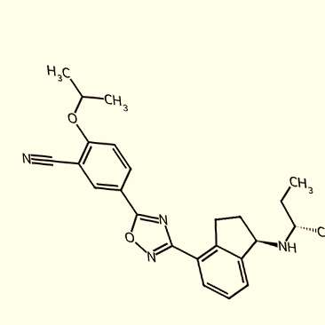 CC[C@H](C)N[C@@H]1CCc2c(-c3noc(-c4ccc(OC(C)C)c(C#N)c4)n3)cccc21